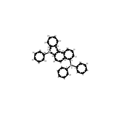 c1ccc(N(c2ccccc2)c2cccc3c2ccc2c3c3ccccc3n2-c2ccccc2)cc1